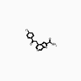 NC(=O)c1cc2c(CC(=O)c3ccc(Cl)cc3)cncc2s1